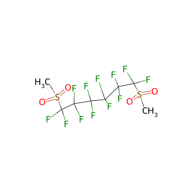 CS(=O)(=O)C(F)(F)C(F)(F)C(F)(F)C(F)(F)C(F)(F)C(F)(F)S(C)(=O)=O